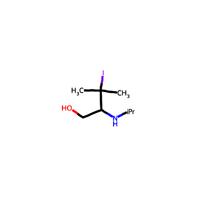 CC(C)NC(CO)C(C)(C)I